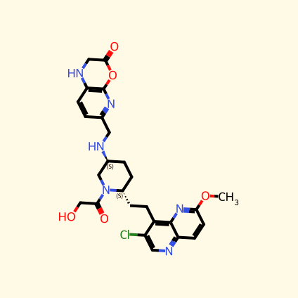 COc1ccc2ncc(Cl)c(CC[C@H]3CC[C@H](NCc4ccc5c(n4)OC(=O)CN5)CN3C(=O)CO)c2n1